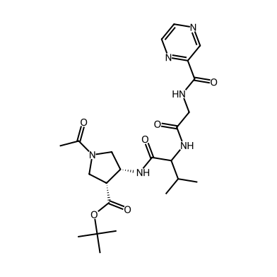 CC(=O)N1C[C@H](NC(=O)C(NC(=O)CNC(=O)c2cnccn2)C(C)C)[C@H](C(=O)OC(C)(C)C)C1